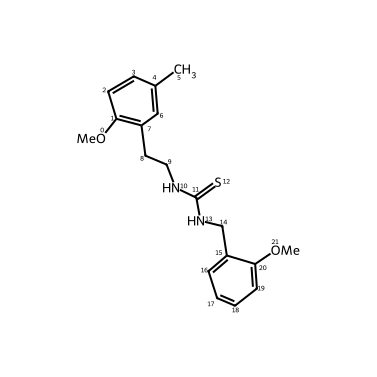 COc1ccc(C)cc1CCNC(=S)NCc1ccccc1OC